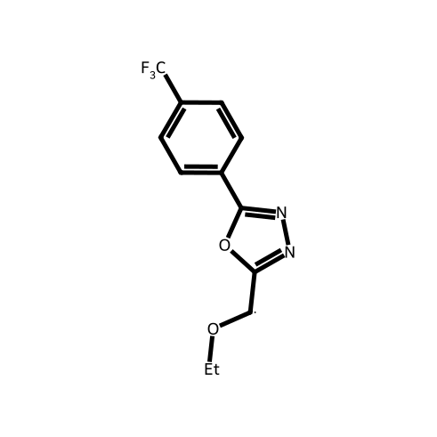 CCO[CH]c1nnc(-c2ccc(C(F)(F)F)cc2)o1